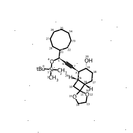 CC(C)(C)[Si](C)(C)O[C@H](C#C[C@@H]1[C@H]2CC3(OCCO3)[C@H]2CC[C@H]1O)C1CCCCCCC1